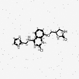 O=C1NCC(COc2cccc3c(NCc4ncco4)nc(Cl)nc23)O1